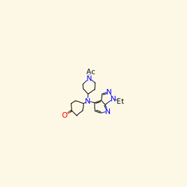 CCn1ncc2c(N(C3CCC(=O)CC3)C3CCN(C(C)=O)CC3)ccnc21